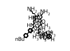 CCCCc1ccc(-c2ccc(C(=O)NCCC(=O)N[C@@H](CCCCN)C(=O)NC(CCCN)C(=O)N[C@@H](C)C(=O)N[C@@H](CC(C)C)C(=O)N[C@@H](C)B3OC4C[C@@H]5C[C@@H](C5(C)C)[C@]4(C)O3)cc2)cc1